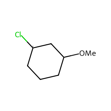 COC1CCC[C](Cl)C1